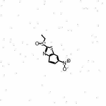 CC[S+]([O-])c1nc2ccc([N+](=O)[O-])cc2s1